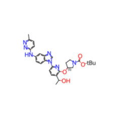 Cc1ccc(Nc2ccc3c(c2)ncn3-c2ccc(C(C)O)c(O[C@H]3CCN(C(=O)OC(C)(C)C)C3)n2)nn1